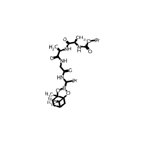 CC(C)OC(=O)NC(C)C(=O)NC(C)C(=O)NCC(=O)NC(B1OC2(C)CCC3CC2(O1)C3(C)C)C(C)C